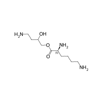 NCCCC[C@H](N)C(=O)OCC(O)CCN